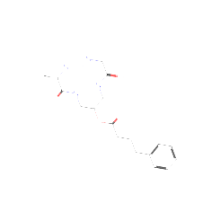 C[C@@H](N)C(=O)NCC(CNC(=O)[C@@H](C)N)OC(=O)CCCc1ccccc1